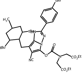 [C-]#[N+]c1c(CC2C(C(C)(C)C)CC(C)CC2C(C)(C)C)c2[nH]c(-c3ccc(C(C)(C)C)cc3)nn2c1OC(=O)N(CC(=O)OCC)CC(=O)OCC